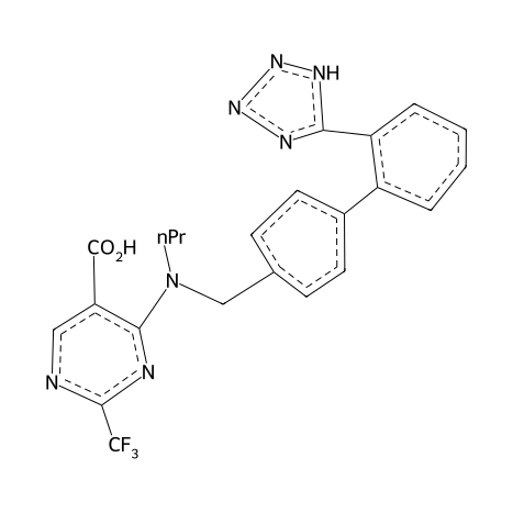 CCCN(Cc1ccc(-c2ccccc2-c2nnn[nH]2)cc1)c1nc(C(F)(F)F)ncc1C(=O)O